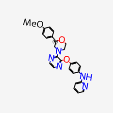 COc1ccc([C@@H]2CN(c3nccnc3Oc3ccc(Nc4ccccn4)cc3)CCO2)cc1